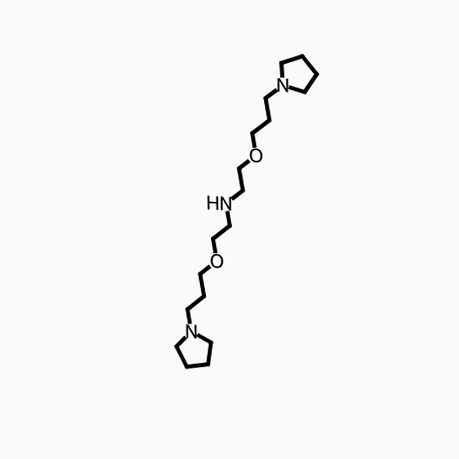 C1CCN(CCCOCCNCCOCCCN2CCCC2)C1